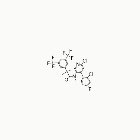 CN(C(=O)C(C)(C)c1cc(C(F)(F)F)cc(C(F)(F)F)c1)c1cnc(Cl)cc1-c1ccc(F)cc1Cl